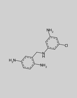 Nc1cc(Cl)cc(NCc2cc(N)ccc2N)c1